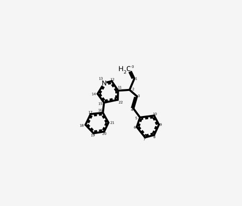 C=CC(C=Cc1ccccc1)c1cncc(-c2ccccc2)c1